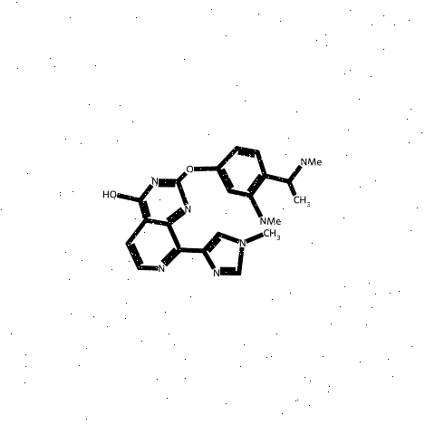 CNc1cc(Oc2nc(O)c3ccnc(-c4cn(C)cn4)c3n2)ccc1C(C)NC